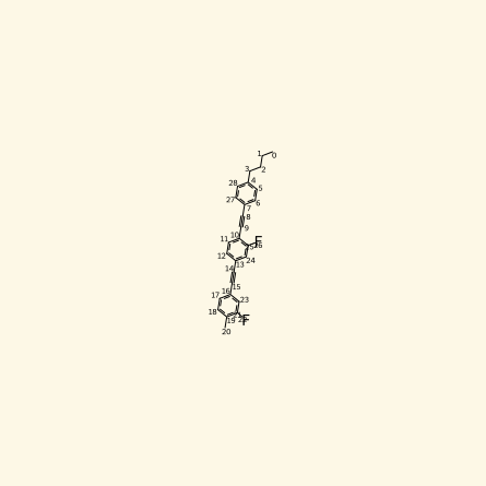 CCCCc1ccc(C#Cc2ccc(C#Cc3ccc(C)c(F)c3)cc2F)cc1